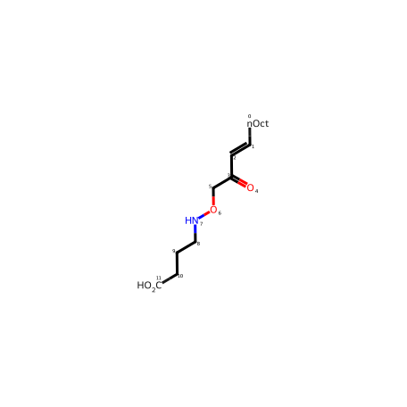 CCCCCCCCC=CC(=O)CONCCCC(=O)O